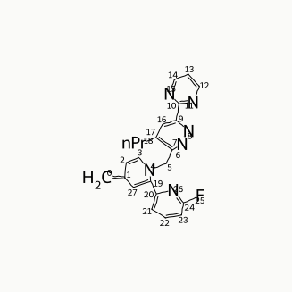 C=C1C=CN(Cc2nnc(-c3ncccn3)cc2CCC)C(c2cccc(F)n2)=C1